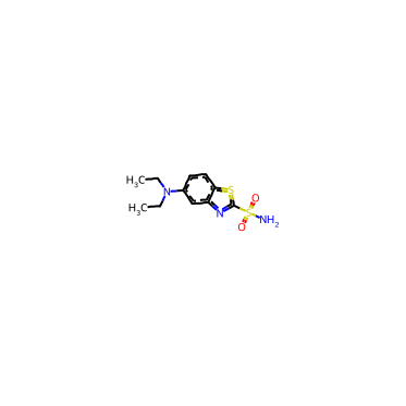 CCN(CC)c1ccc2sc(S(N)(=O)=O)nc2c1